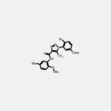 CCCCOc1ccc(C(C)(C)C)cc1NC(=O)c1nnn(-c2cc(OC)ccc2Br)c1C